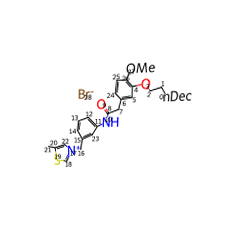 CCCCCCCCCCCCOc1cc(CC(=O)Nc2cccc(C[n+]3csc(C)c3)c2)ccc1OC.[Br-]